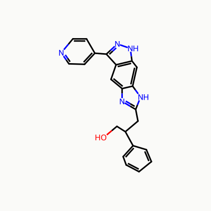 OCC(Cc1nc2cc3c(-c4ccncc4)n[nH]c3cc2[nH]1)c1ccccc1